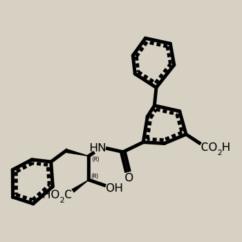 O=C(O)c1cc(C(=O)N[C@H](Cc2ccccc2)[C@@H](O)C(=O)O)cc(-c2ccccc2)c1